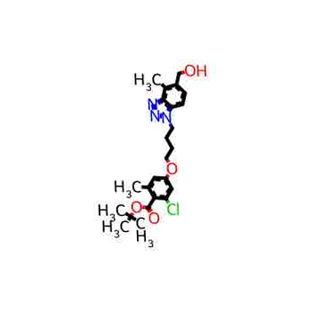 Cc1cc(OCCCCn2nnc3c(C)c(CO)ccc32)cc(Cl)c1C(=O)OC(C)(C)C